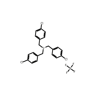 Clc1ccc(C[S+](Cc2ccc(Cl)cc2)Cc2ccc(Cl)cc2)cc1.F[B-](F)(F)F